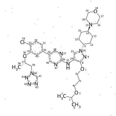 CC(C)OCCCOc1nn([C@H]2CC[C@H](N3CCOCC3)CC2)cc1Nc1ncc(-c2ccc(Cl)c(O[C@@H](C)Cn3cnnn3)c2)cn1